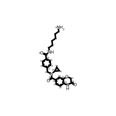 NCCCCCCNC(=O)c1ccc(CN(C(=O)c2ccc3c(c2)OCC(=O)N3)C2CC2)cc1